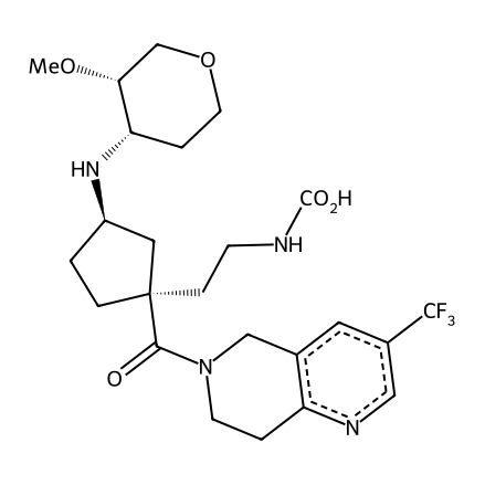 CO[C@@H]1COCC[C@@H]1N[C@@H]1CC[C@](CCNC(=O)O)(C(=O)N2CCc3ncc(C(F)(F)F)cc3C2)C1